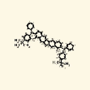 Cc1c(N(c2ccccc2)c2ccc(C(C)(C)C)cc2)ccc2cc3c(cc12)sc1cc2c(C)c(N(c4ccccc4)c4ccc(C(C)(C)C)cc4)ccc2cc13